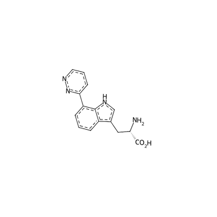 N[C@@H](Cc1c[nH]c2c(-c3cccnn3)cccc12)C(=O)O